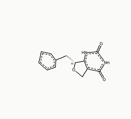 O=c1[nH]c2c(c(=O)[nH]1)CO[C@@H]2Cc1ccccc1